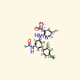 CC(=O)Nc1cc(Nc2ncc(I)cc2[N+](=O)[O-])cc(-c2ccc(F)cc2F)c1